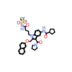 O=C(CCCn1c(COc2ccc3ccccc3c2)c(C(=O)N2CCCC2)c2cc(NC(=O)C3CCCC3)ccc21)NS(=O)(=O)C(F)(F)F